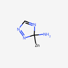 N[C]1([Zn])N=CN=N1